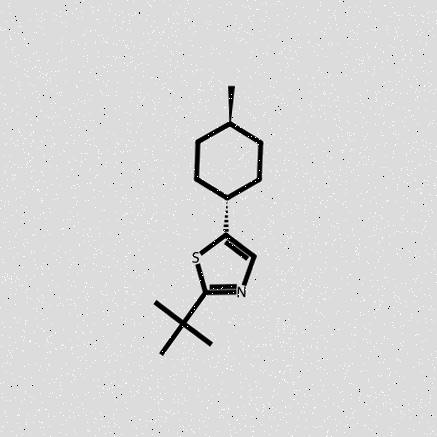 CC(C)(C)c1ncc([C@H]2CC[C@H](C)CC2)s1